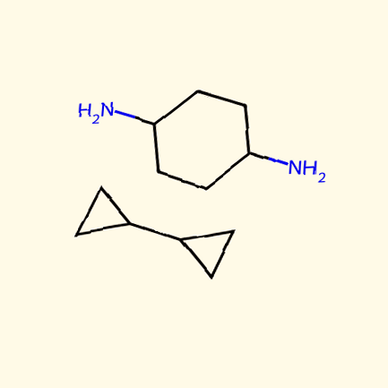 C1CC1C1CC1.NC1CCC(N)CC1